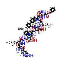 CCc1cc(OC)ccc1-c1ccc(C[C@H](NC(=O)[C@H](CC(=O)O)NC(=O)[C@H](CO)NC(=O)[C@@H](NC(=O)[C@](C)(Cc2ccccc2F)NC(=O)[C@@H](NC(=O)CNC(=O)[C@H](CCC(=O)O)NC(=O)C(C)(C)NC(=O)[C@@H](N)Cc2c[nH]cn2)[C@@H](C)O)[C@@H](C)O)C(=O)N[C@@H](CCC(=O)OCc2ccccc2)C(N)=O)cc1